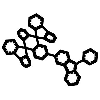 c1ccc(-n2c3ccccc3c3cc(-c4ccc5c(c4)C4(c6ccccc6-c6ccccc64)c4ccccc4C54c5ccccc5-c5ccccc54)ccc32)cc1